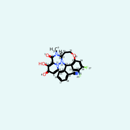 CN1C(=O)c2c(O)c(=O)ccn2N2C(c3ccccc3C#N)c3cc(F)c(F)cc3OCC[C@@H]12